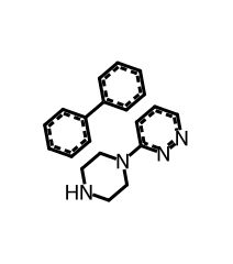 c1ccc(-c2ccccc2)cc1.c1cnnc(N2CCNCC2)c1